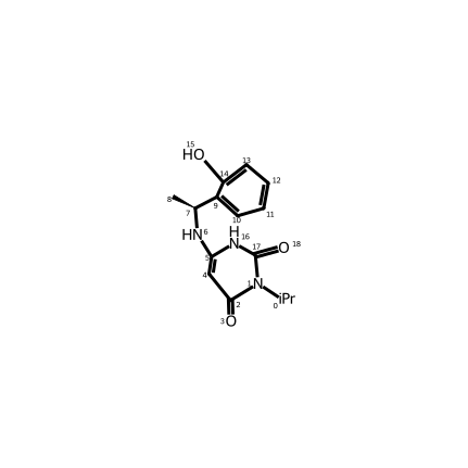 CC(C)n1c(=O)cc(N[C@@H](C)c2ccccc2O)[nH]c1=O